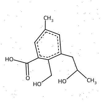 Cc1cc(CC(C)O)c(CO)c(C(=O)O)c1